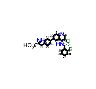 C[C@@H](Nc1c(Cl)cnc2ccc(-c3ccc(CC(N)C(=O)O)cc3)cc12)c1ccccc1F